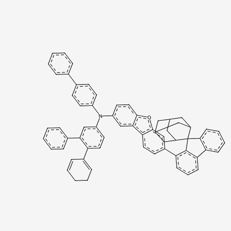 C1=CC(c2ccc(N(c3ccc(-c4ccccc4)cc3)c3ccc4oc5cc(-c6cccc7c6C6(c8ccccc8-7)C7CC8CC(C7)CC6C8)ccc5c4c3)cc2-c2ccccc2)=CCC1